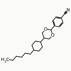 CCCCCCC1CCC(C2COC(c3ccc(C#N)cc3)OC2)CC1